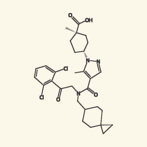 Cc1c(C(=O)N(CC(=O)c2c(Cl)cccc2Cl)CC2CCC3(CC2)CC3)cnn1[C@H]1CC[C@](C)(C(=O)O)CC1